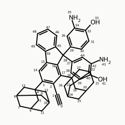 C#Cc1c(C23CC4CC(CC(C4)C2)C3)cc2c(c1C13CC4CC(CC(C4)C1)C3)C(c1ccc(O)c(N)c1)(c1ccc(O)c(N)c1)c1ccccc1-2